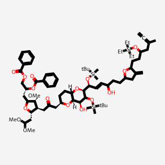 C=C=C(C)CC(CCC1OC(CCC(O)/C=C/[C@H](O[Si](C)(C)C(C)(C)C)[C@@H]2O[C@H]3CC[C@H](CC(=O)C[C@H]4[C@H](CC(OC)OC)OC(C[C@H](COC(=O)c5ccccc5)OC(=O)c5ccccc5)[C@@H]4OC)O[C@@H]3[C@H](O)C2O[Si](C)(C)C(C)(C)C)CC1=C)O[Si](CC)(CC)CC